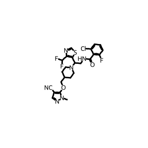 Cn1ncc(C#N)c1OCC1CCN(C(CNC(=O)c2c(F)cccc2Cl)c2scnc2C(F)F)CC1